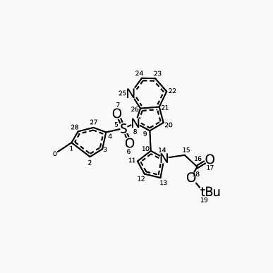 Cc1ccc(S(=O)(=O)n2c(-c3cccn3CC(=O)OC(C)(C)C)cc3cccnc32)cc1